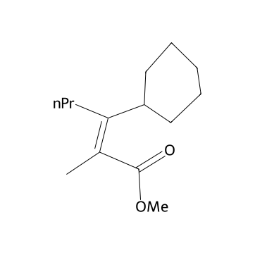 CCCC(=C(C)C(=O)OC)C1CCCCC1